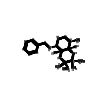 CO[C@@]1(C)O[C@@H]2[C@H](OCc3ccccc3)OC[C@H](C#N)[C@H]2O[C@]1(C)OC